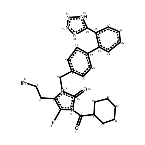 CC(C)CCc1c(F)n(C(=O)C2CCCCC2)c(=O)n1Cc1ccc(-c2ccccc2-c2nnn[nH]2)cc1